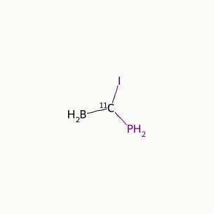 B[11CH](P)I